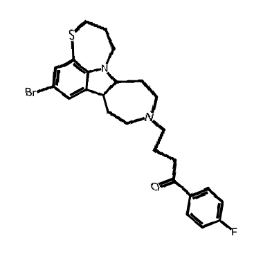 O=C(CCCN1CCC2c3cc(Br)cc4c3N(CCCS4)C2CC1)c1ccc(F)cc1